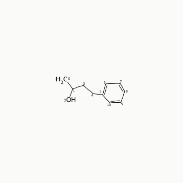 [CH2]C(O)CCc1ccccc1